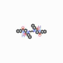 O=c1c2cc3ccccc3cc2[nH]c2c1ccc1c2c(=O)c2cc3ccccc3cc2n1CCCCn1c2cc3ccccc3cc2c(=O)c2c3[nH]c4cc5ccccc5cc4c(=O)c3ccc21